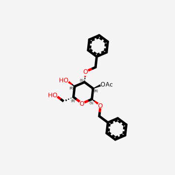 CC(=O)O[C@H]1[C@@H](OCc2ccccc2)O[C@H](CO)[C@@H](O)[C@@H]1OCc1ccccc1